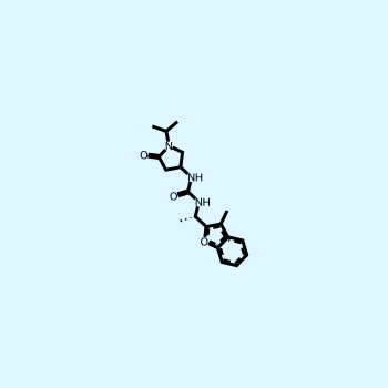 Cc1c([C@H](C)NC(=O)NC2CC(=O)N(C(C)C)C2)oc2ccccc12